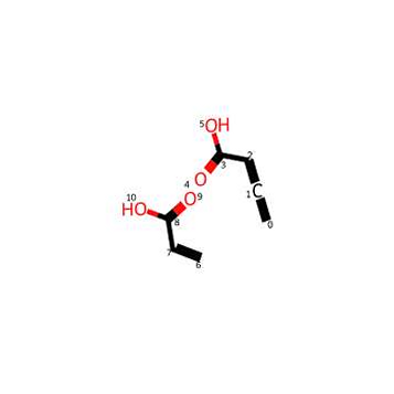 C=C=CC(=O)O.C=CC(=O)O